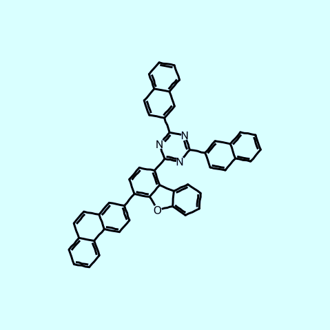 c1ccc2cc(-c3nc(-c4ccc5ccccc5c4)nc(-c4ccc(-c5ccc6c(ccc7ccccc76)c5)c5oc6ccccc6c45)n3)ccc2c1